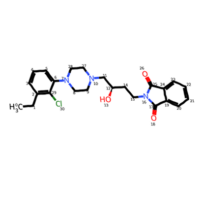 CCc1cccc(N2CCN(C[C@H](O)CCN3C(=O)c4ccccc4C3=O)CC2)c1Cl